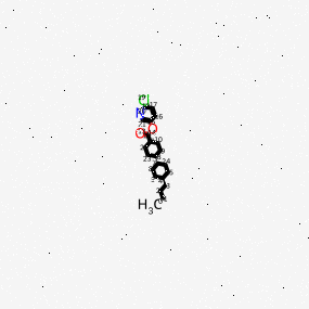 CCCC[C@H]1CC[C@H](C2CCC(C(=O)Oc3ccc(Cl)nc3)CC2)CC1